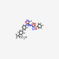 Cc1noc(-c2ccc(-c3ccc(C4(C(=O)O)CC4)cc3)cc2)c1NC(=O)NS(=O)(=O)c1ccccc1